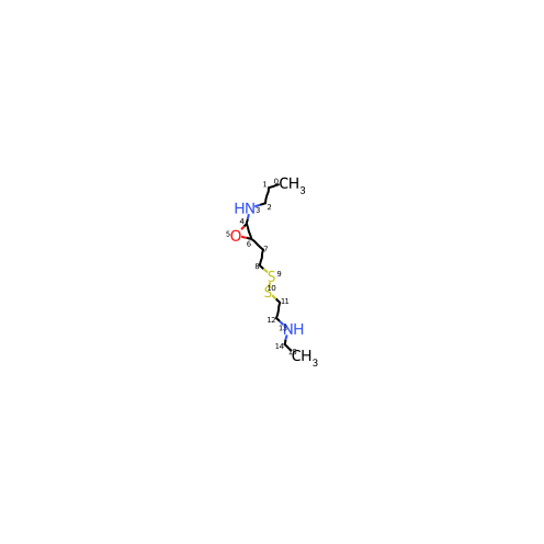 CCCNC1OC1CCSSCCNCC